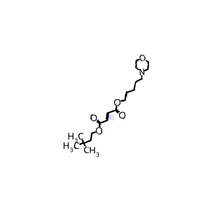 CC(C)(C)CCOC(=O)/C=C/C(=O)OCCCCCN1CCOCC1